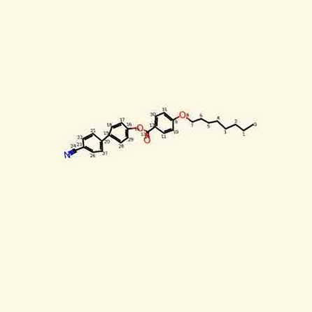 CCCCCCCCOc1ccc(C(=O)Oc2ccc(-c3ccc(C#N)cc3)cc2)cc1